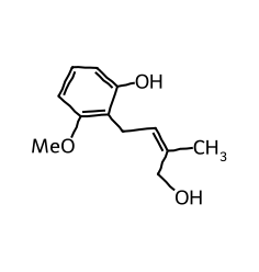 COc1cccc(O)c1C/C=C(/C)CO